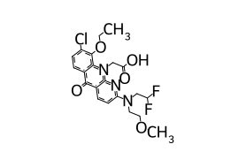 CCOc1c(Cl)ccc2c(=O)c3ccc(N(CCOC)CC(F)F)nc3n(CC(=O)O)c12